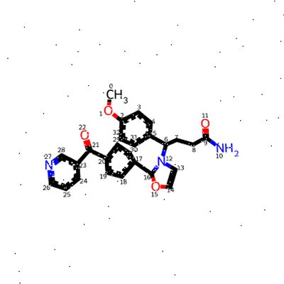 COc1ccc(C(CCC(N)=O)N2C=COC2c2ccc(C(=O)c3cccnc3)cc2)cc1